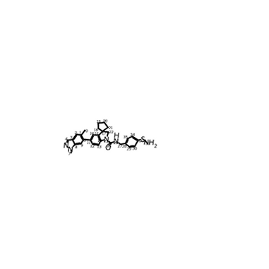 Cc1cc2cnn(C)c2cc1-c1ccc2c(c1)C1(CCCC1)CN2C(=O)NCc1ccc(SN)cc1